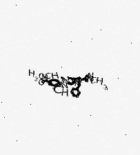 CN(C)C(=O)c1ccc(Nc2cc3c(cn2)cc(-c2cnn(C)c2)n3CC2CCCCC2)c(Cl)c1